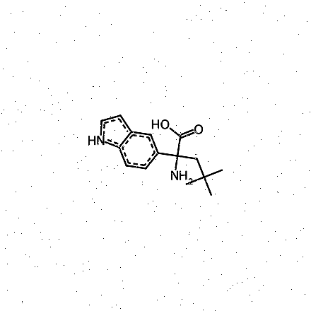 CC(C)(C)CC(N)(C(=O)O)c1ccc2[nH]ccc2c1